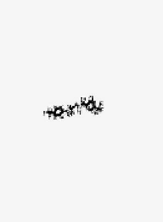 O=C(NCc1noc(-c2ccc(C(F)(F)F)cc2F)n1)c1ncc(C(F)(F)F)cc1Cl